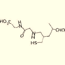 CC(C=O)CC(CS)CNCC(=O)NCC(=O)O